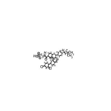 CC(C)(C)/C=C/c1ccc(C(Cc2ccc(C(=O)NCCS(=O)(=O)O)cc2)C(=O)Nc2cc(-c3ccc(Cl)cc3Cl)ccc2F)cc1